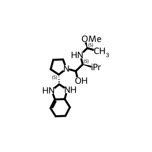 CO[C@@H](C)N[C@@H](C(C)C)C(O)N1CCC[C@H]1C1NC2=CCCCC2N1